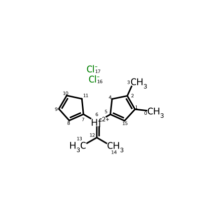 CC1=C(C)C[C]([Hf+2]([C]2=CC=CC2)=[C](C)C)=C1.[Cl-].[Cl-]